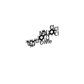 COc1cc2c(Nc3cc(Cl)c(Cl)c(Cl)c3)ncnc2cc1OCC1CN(C)CCO1